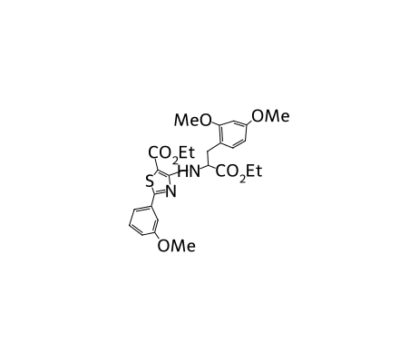 CCOC(=O)c1sc(-c2cccc(OC)c2)nc1CNC(Cc1ccc(OC)cc1OC)C(=O)OCC